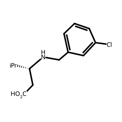 CC(C)[C@@H](CC(=O)O)NCc1cccc(Cl)c1